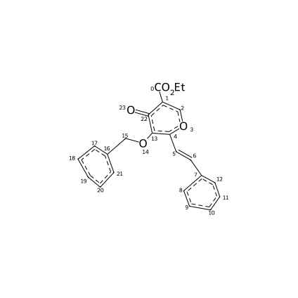 CCOC(=O)c1coc(/C=C/c2ccccc2)c(OCc2ccccc2)c1=O